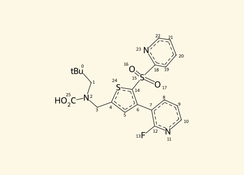 CC(C)(C)CN(Cc1cc(-c2cccnc2F)c(S(=O)(=O)c2ccccn2)s1)C(=O)O